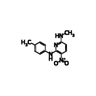 CNc1ccc([N+](=O)[O-])c(Nc2ccc(C)cc2)n1